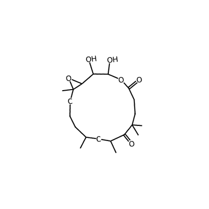 CC1CCCC2(C)OC2C(O)C(O)OC(=O)CCC(C)(C)C(=O)C(C)C1